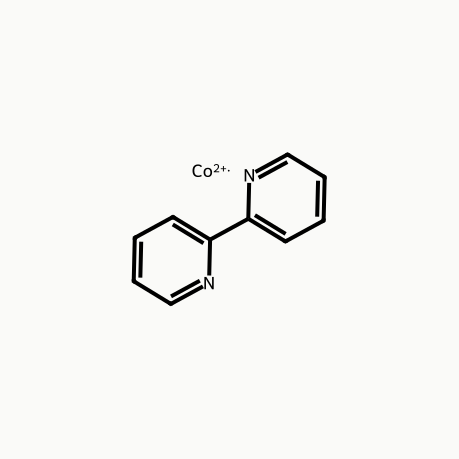 [Co+2].c1ccc(-c2ccccn2)nc1